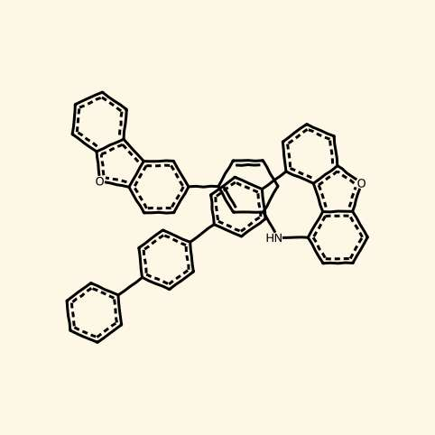 C1=CC(c2ccc3oc4ccccc4c3c2)=CC(Nc2cccc3oc4cccc(-c5ccc(-c6ccc(-c7ccccc7)cc6)cc5)c4c23)C1